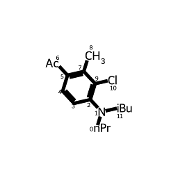 CCCN(c1ccc(C(C)=O)c(C)c1Cl)C(C)CC